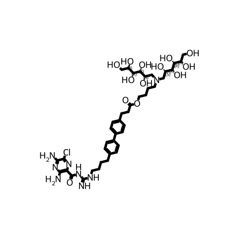 N=C(NCCCCc1ccc(-c2ccc(CCC(=O)OCCCCN(C[C@H](O)[C@@H](O)[C@H](O)[C@H](O)CO)C[C@H](O)[C@@H](O)[C@H](O)[C@H](O)CO)cc2)cc1)NC(=O)c1nc(Cl)c(N)nc1N